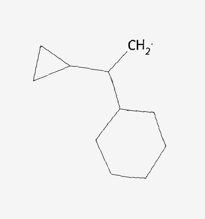 [CH2]C(C1CCCCC1)C1CC1